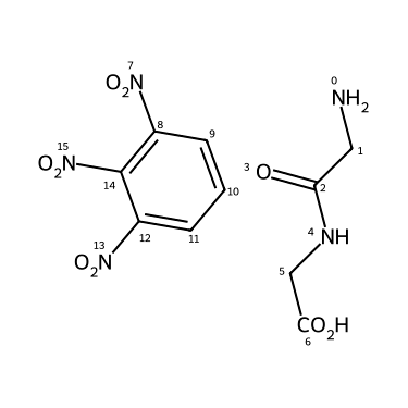 NCC(=O)NCC(=O)O.O=[N+]([O-])c1cccc([N+](=O)[O-])c1[N+](=O)[O-]